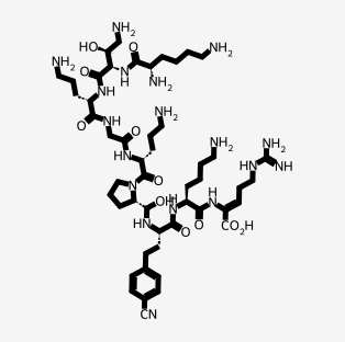 N#Cc1ccc(CC[C@H](NC(O)[C@@H]2CCCN2C(=O)[C@@H](CCCN)NC(=O)CNC(=O)[C@H](CCCN)NC(=O)[C@@H](NC(=O)[C@@H](N)CCCCN)[C@@H](O)CN)C(=O)N[C@@H](CCCCN)C(=O)N/C(=C\CCNC(=N)N)C(=O)O)cc1